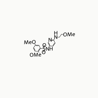 COCCNc1ccc(NS(=O)(=O)c2cc(OC)ccc2OC)cn1